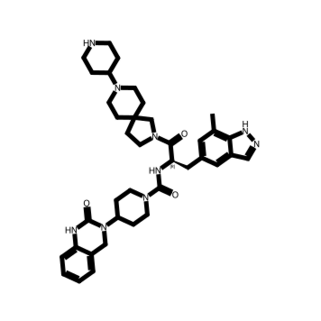 Cc1cc(C[C@@H](NC(=O)N2CCC(N3Cc4ccccc4NC3=O)CC2)C(=O)N2CCC3(CCN(C4CCNCC4)CC3)C2)cc2cn[nH]c12